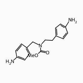 COC(=O)N(CCc1ccc(N)cc1)Cc1ccc(N)cc1